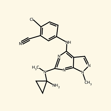 CN(c1nc(Nc2ccc(Cl)c(C#N)c2)c2cnn(C)c2n1)C1(N)CC1